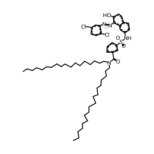 CCCCCCCCCCCCCCCCCCN(CCCCCCCCCCCCCCCCCC)C(=O)c1cccc(S(=O)(=O)Nc2ccc3ccc(O)c(/N=N/c4cc(Cl)ccc4Cl)c3c2)c1